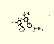 CC(C)c1cc(Nc2nc(N3CCC[C@H](OC(N)=O)C3)ncc2C(N)=O)cc(N2CCCCC2)n1